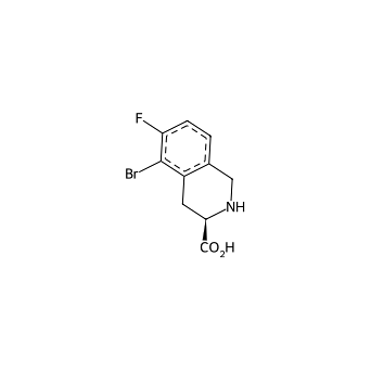 O=C(O)[C@H]1Cc2c(ccc(F)c2Br)CN1